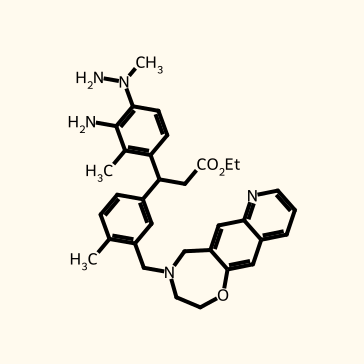 CCOC(=O)CC(c1ccc(C)c(CN2CCOc3cc4cccnc4cc3C2)c1)c1ccc(N(C)N)c(N)c1C